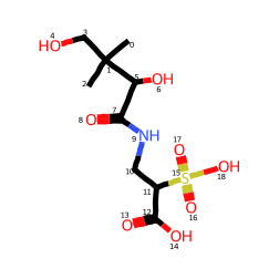 CC(C)(CO)C(O)C(=O)NCC(C(=O)O)S(=O)(=O)O